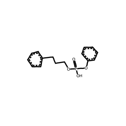 O=P(O)(OCCCc1ccccc1)Oc1ccccc1